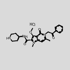 COc1c(C(=O)NC2CCNCC2)n(C)c2cc(C)n(CC(=O)c3ccccc3)c(=O)c12.Cl